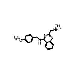 CNCc1nc(NCc2ccc(OC)cc2)c2ccccc2n1